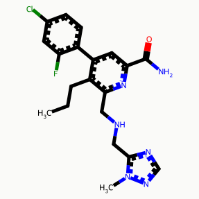 CCCc1c(-c2ccc(Cl)cc2F)cc(C(N)=O)nc1CNCc1ncnn1C